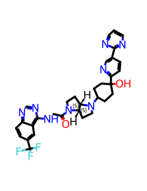 O=C(CNc1ncnc2ccc(C(F)(F)F)cc12)N1CC[C@H]2[C@@H]1CCN2C1CCC(O)(c2ccc(-c3ncccn3)cn2)CC1